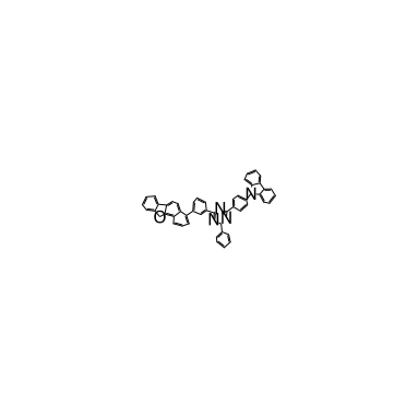 c1ccc(-c2nc(-c3ccc(-n4c5ccccc5c5ccccc54)cc3)nc(-c3cccc(-c4cccc5c4ccc4c6ccccc6oc54)c3)n2)cc1